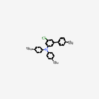 CC(C)(C)c1ccc(-c2cc(Cl)cc(N(c3ccc(C(C)(C)C)cc3)c3ccc(C(C)(C)C)cc3)c2)cc1